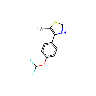 CC1=C(c2ccc(OC(F)F)cc2)NCS1